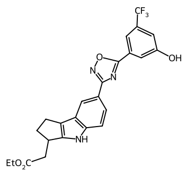 CCOC(=O)CC1CCc2c1[nH]c1ccc(-c3noc(-c4cc(O)cc(C(F)(F)F)c4)n3)cc21